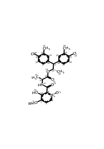 COc1cc[n+]([O-])c(C(=O)N[C@@H](C)C(=O)O[C@@H](C)C(c2ccc(Cl)c(C)c2)c2ccc(Cl)c(C)c2)c1O